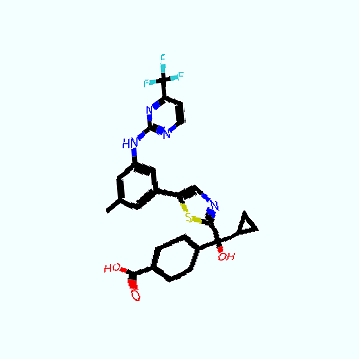 Cc1cc(Nc2nccc(C(F)(F)F)n2)cc(-c2cnc(C(O)(C3CCC(C(=O)O)CC3)C3CC3)s2)c1